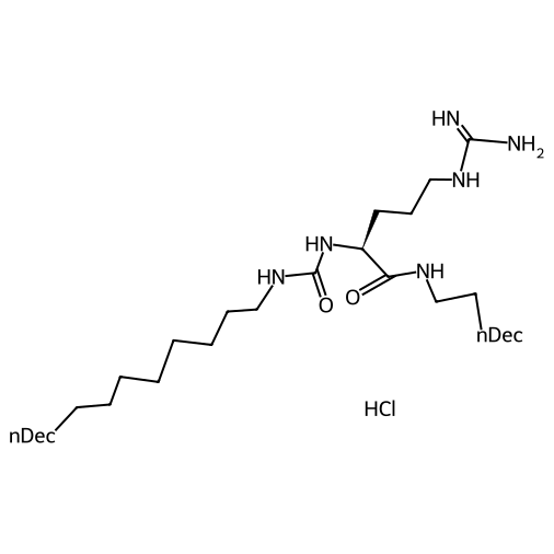 CCCCCCCCCCCCCCCCCCNC(=O)N[C@@H](CCCNC(=N)N)C(=O)NCCCCCCCCCCCC.Cl